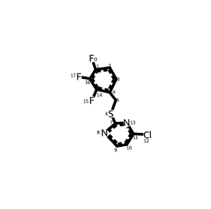 Fc1ccc(CSc2nccc(Cl)n2)c(F)c1F